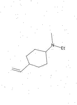 C=CC1CCC(N(C)CC)CC1